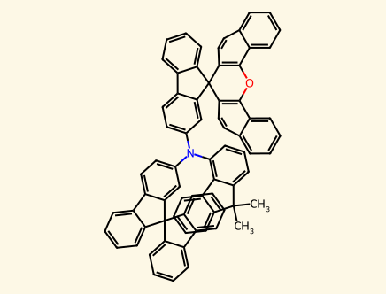 CC1(C)c2ccccc2-c2c(N(c3ccc4c(c3)C3(c5ccccc5-c5ccccc53)c3ccccc3-4)c3ccc4c(c3)C3(c5ccccc5-4)c4ccc5ccccc5c4Oc4c3ccc3ccccc43)cccc21